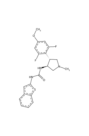 COc1cc(F)c([C@@H]2CN(C)C[C@H]2NC(=O)Nc2cc3ccccc3s2)c(F)c1